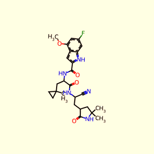 COc1cc(F)cc2[nH]c(C(=O)NC(CC3(C)CC3)C(=O)NC(C#N)CC3CC(C)(C)NC3=O)cc12